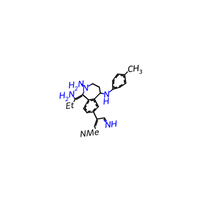 CC/C(N)=C1\c2ccc(/C(C=N)=C/NC)cc2C(Nc2ccc(C)cc2)CCN1N